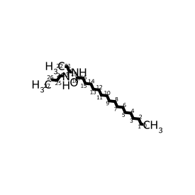 CCCCCCCCCCCCCCCCCC(=O)NC(CC)NCCCC